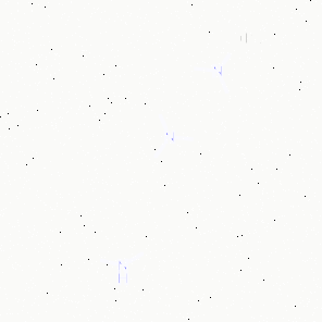 CC1CCCC(N2CCN(C(C)(C)C)CC2)CCN1